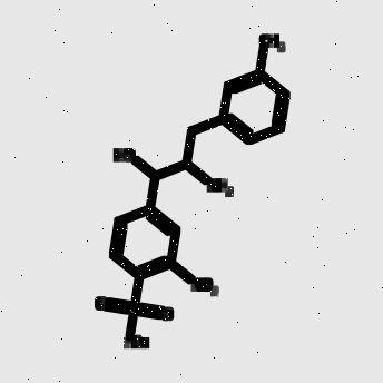 CCCCS(=O)(=O)c1ccc(C(O)C(N)Cc2cccc(C)c2)cc1[N+](=O)[O-]